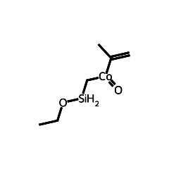 C=[C](C)[Co](=[O])[CH2][SiH2]OCC